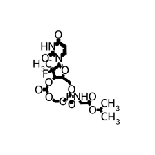 CC(C)OC(=O)CNP1(=O)OCOC(=O)OC2C(CO1)O[C@@H](n1ccc(=O)[nH]c1=O)[C@@]2(C)F